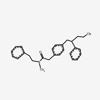 CN(CCc1ccccc1)C(=O)Cc1ccc(CC(CCC#N)c2ccccc2)cc1